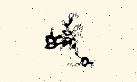 C#Cc1c(F)ccc2cccc(-c3ncc4c(N(C)[C@@H]5CCN(C(=O)C=C)[C@@H]5C)nc(OC[C@H]5C/C(=C/F)CN5C)nc4c3F)c12